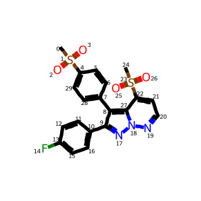 CS(=O)(=O)c1ccc(-c2c(-c3ccc(F)cc3)nn3nccc(S(C)(=O)=O)c23)cc1